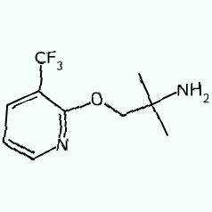 CC(C)(N)COc1ncccc1C(F)(F)F